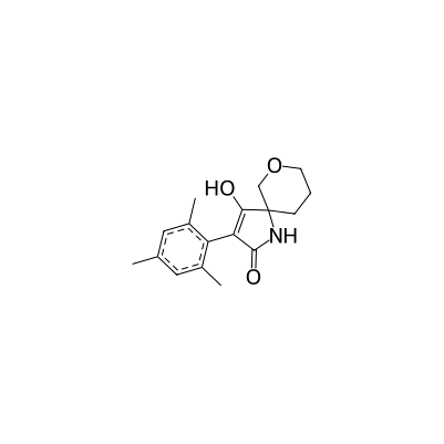 Cc1cc(C)c(C2=C(O)C3(CCCOC3)NC2=O)c(C)c1